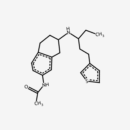 CCC(CCc1ccsc1)NC1CCc2ccc(NC(C)=O)cc2C1